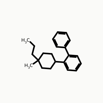 CCCC1(C)CCC(c2ccccc2-c2ccccc2)CC1